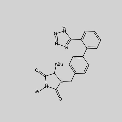 CCCCC1C(=O)N(C(C)C)C(=O)N1Cc1ccc(-c2ccccc2-c2nnn[nH]2)cc1